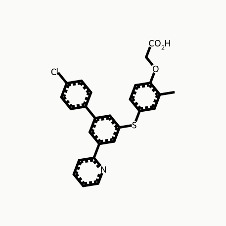 Cc1cc(Sc2cc(-c3ccc(Cl)cc3)cc(-c3ccccn3)c2)ccc1OCC(=O)O